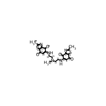 Cc1nc2c(s1)C(=O)C=C(NCCN(C)CCNC1=CC(=O)c3sc(C)nc3C1=O)C2=O